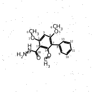 COc1cc(OC)c(-c2ccccc2)c(OC)c1C(=O)NN